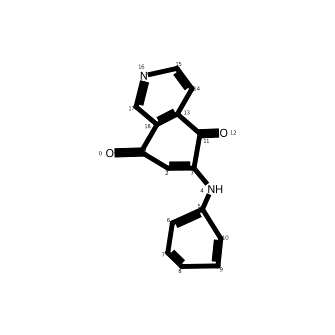 O=C1C=C(Nc2ccccc2)C(=O)c2ccncc21